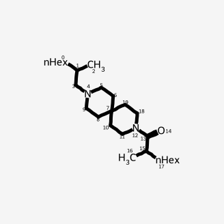 CCCCCCC(C)CN1CCC2(CC1)CCN(C(=O)C(C)CCCCCC)CC2